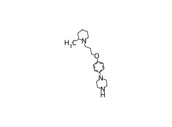 CC1CCCCN1CCCOc1ccc(N2CCNCC2)cc1